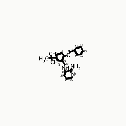 CC(C)(C)c1ccc(OCc2ccccc2)c(CNc2cccnc2N)c1